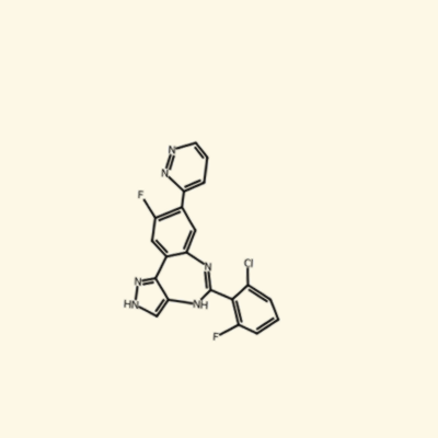 Fc1cc2c(cc1-c1cccnn1)N=C(c1c(F)cccc1Cl)Nc1c[nH]nc1-2